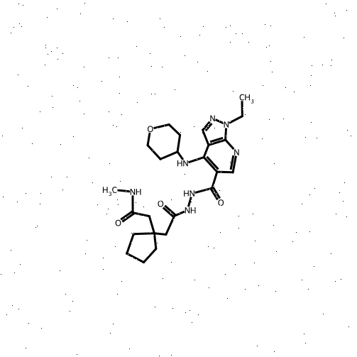 CCn1ncc2c(NC3CCOCC3)c(C(=O)NNC(=O)CC3(CC(=O)NC)CCCC3)cnc21